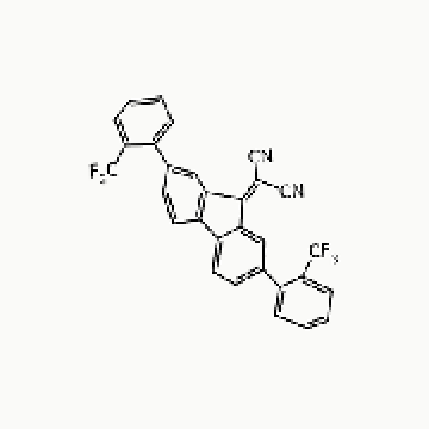 N#CC(C#N)=C1c2cc(-c3ccccc3C(F)(F)F)ccc2-c2ccc(-c3ccccc3C(F)(F)F)cc21